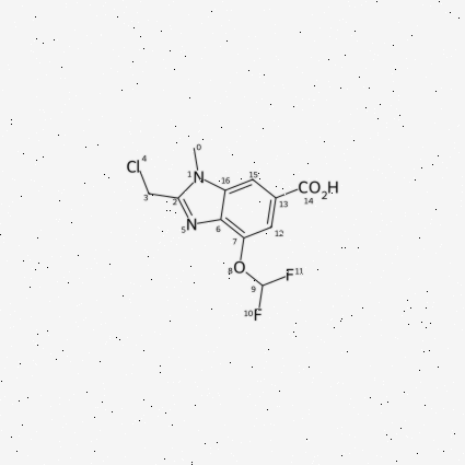 Cn1c(CCl)nc2c(OC(F)F)cc(C(=O)O)cc21